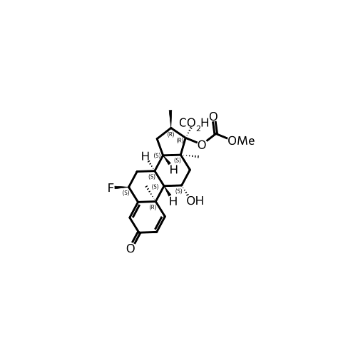 COC(=O)O[C@]1(C(=O)O)[C@H](C)C[C@H]2[C@@H]3C[C@H](F)C4=CC(=O)C=C[C@]4(C)[C@H]3[C@@H](O)C[C@@]21C